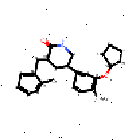 COc1ccc(C2CNC(=O)C(Cc3ccccc3C)C2)cc1OC1CCCC1